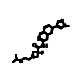 CC(C)OCCN1CC(F)(C(=O)Nc2cc3cc(-c4cnn(C)c4)ccc3cn2)C1